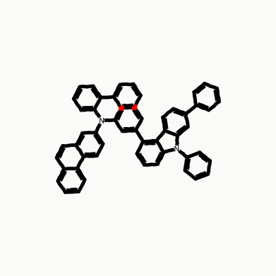 c1ccc(-c2ccc3c4c(-c5cccc(N(c6ccc7c(ccc8ccccc87)c6)c6ccccc6-c6ccccc6)c5)cccc4n(-c4ccccc4)c3c2)cc1